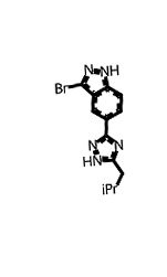 CC(C)Cc1nc(-c2ccc3[nH]nc(Br)c3c2)n[nH]1